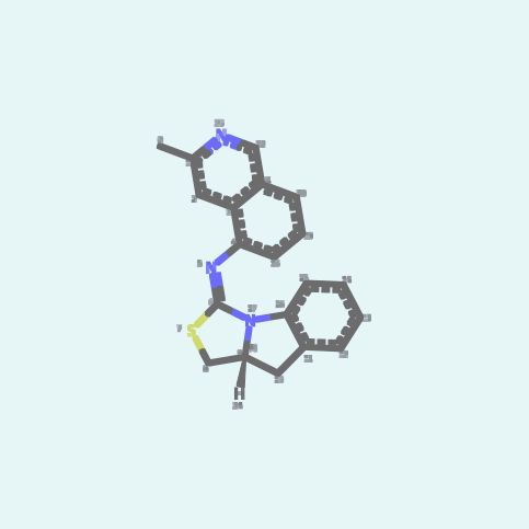 Cc1cc2c(N=C3SC[C@H]4Cc5ccccc5N34)cccc2cn1